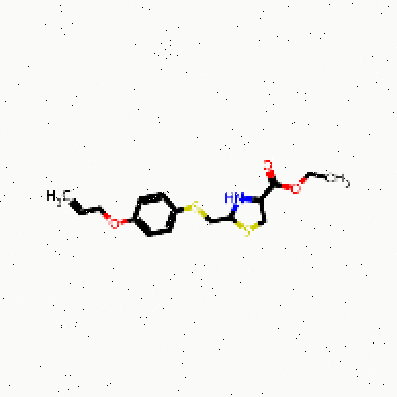 C=CCOc1ccc(SCC2NC(C(=O)OCC)CS2)cc1